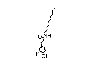 CCCCCCCCCCNC(=O)/C=C/c1ccc(O)c(F)c1